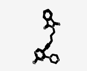 O=C1c2ccccc2C(=O)N1CCCC#Cc1cnc(Cl)nc1N1CCOCC1